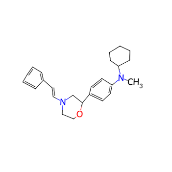 CN(c1ccc(C2CN(C=Cc3ccccc3)CCO2)cc1)C1CCCCC1